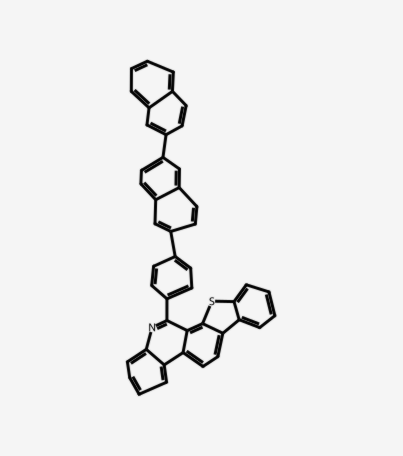 c1ccc2cc(-c3ccc4cc(-c5ccc(-c6nc7ccccc7c7ccc8c9ccccc9sc8c67)cc5)ccc4c3)ccc2c1